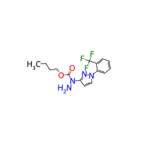 CCCCOC(=O)N(N)c1ccn(-c2ccccc2C(F)(F)F)n1